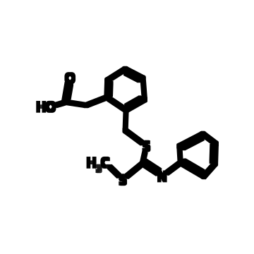 CSC(=Nc1ccccc1)SCc1ccccc1CC(=O)O